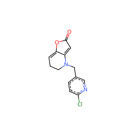 O=C1C=C2C(=CCCN2Cc2ccc(Cl)nc2)O1